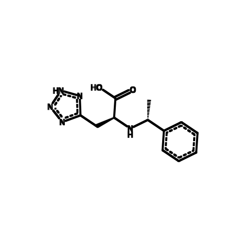 C[C@@H](N[C@@H](Cc1nn[nH]n1)C(=O)O)c1ccccc1